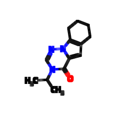 CC(C)n1cnn2c3c(cc2c1=O)CCCC3